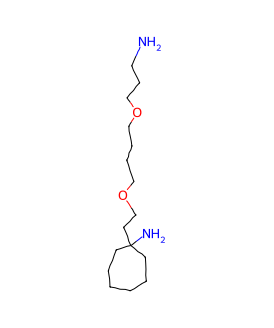 NCCCOCCCCOCCC1(N)CCCCCC1